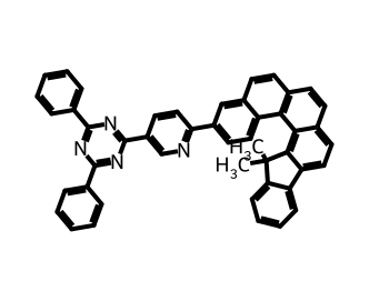 CC1(C)c2ccccc2-c2ccc3ccc4ccc5cc(-c6ccc(-c7nc(-c8ccccc8)nc(-c8ccccc8)n7)cn6)ccc5c4c3c21